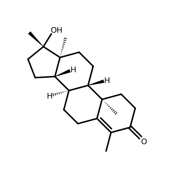 CC1=C2CC[C@@H]3[C@H](CC[C@@]4(C)[C@H]3CC[C@]4(C)O)[C@@]2(C)CCC1=O